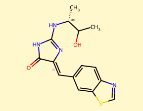 CC(O)[C@@H](C)NC1=N/C(=C\c2ccc3ncsc3c2)C(=O)N1